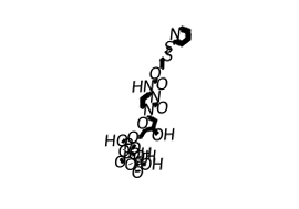 O=C(Nc1ccn(C2CC(O)C(COP(=O)(O)OP(=O)(O)OP(=O)(O)O)O2)c(=O)n1)OCCSSc1ccccn1